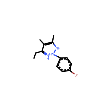 CCC(=N)C(C)=C(C)NNc1ccc(Br)cc1